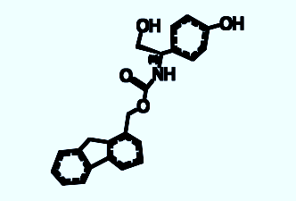 O=C(N[C@@H](CO)c1ccc(O)cc1)OCc1cccc2c1Cc1ccccc1-2